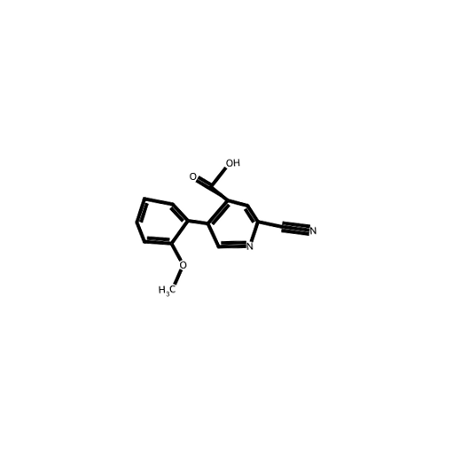 COc1ccccc1-c1cnc(C#N)cc1C(=O)O